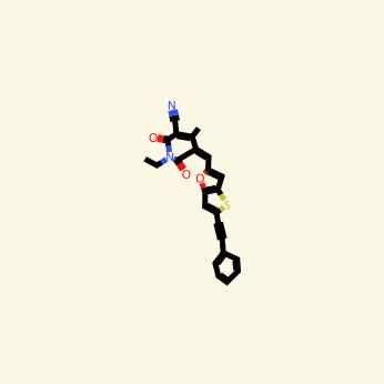 CCN1C(=O)C(C#N)=C(C)/C(=C/c2cc3sc(C#Cc4ccccc4)cc3o2)C1=O